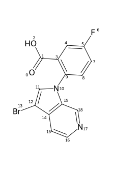 O=C(O)c1cc(F)ccc1-n1cc(Br)c2ccncc21